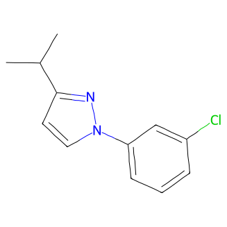 CC(C)c1ccn(-c2cccc(Cl)c2)n1